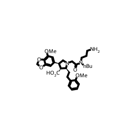 CCCCN(CCCN)C(=O)CN1C[C@H](c2cc(OC)c3c(c2)OCO3)[C@@H](C(=O)O)[C@@H]1CCc1ccccc1OC